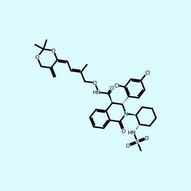 C=C1COC(C)(C)O/C1=C/C=C(\C)CONC(=O)[C@@H]1c2ccccc2C(=O)N([C@H]2CCCC[C@@H]2NS(C)(=O)=O)[C@H]1c1ccc(Cl)cc1Cl